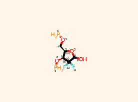 OC1O[C@H](COP)[C@H](OP)C1(F)F